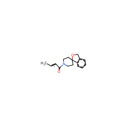 C/C=C/C(=O)N1CCC2(CC1)OCc1ccccc12